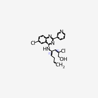 C=CC/C=C(\C=C(\Cl)CO)Nc1nc(-c2cccnc2)nc2ccc(Cl)cc12